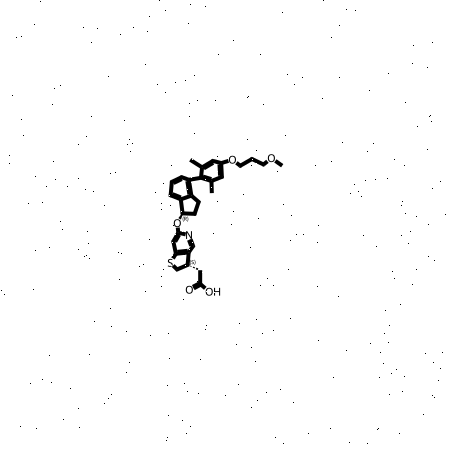 COCCCOc1cc(C)c(-c2cccc3c2CC[C@H]3Oc2cc3c(cn2)[C@H](CC(=O)O)CS3)c(C)c1